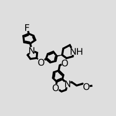 COCCCN1CCOc2ccc(CO[C@H]3CNCC[C@@H]3c3ccc(O[C@H]4CCN(c5ccc(F)cc5)C4)cc3)cc21